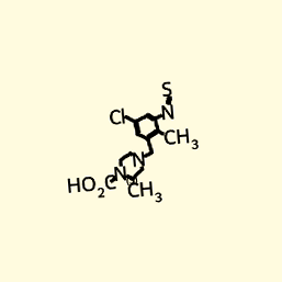 Cc1c(CN2CCN(C(=O)O)[C@@H](C)C2)cc(Cl)cc1N=C=S